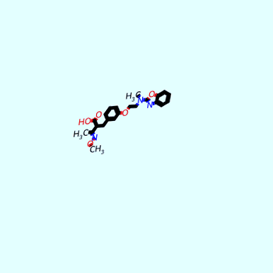 CON=C(C)C(Cc1cccc(OCCN(C)c2nc3ccccc3o2)c1)C(=O)O